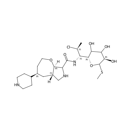 CSC1O[C@H]([C@H](NC(=O)C2NC[C@@H]3C[C@@H](C4CCNCC4)CCO[C@@H]23)[C@H](C)Cl)C(O)C(O)[C@H]1O